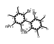 CCCc1c(C)c(C)c(Br)c(-c2c(Br)c(C)c(C)c(C)c2Br)c1Br